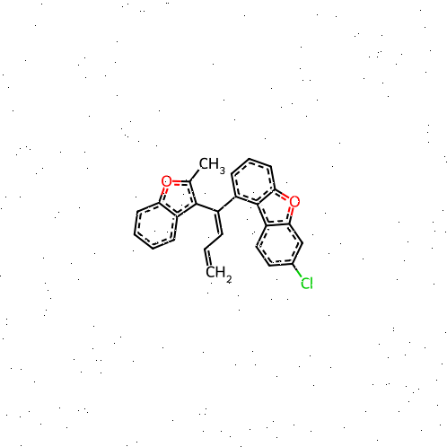 C=C/C=C(\c1c(C)oc2ccccc12)c1cccc2oc3cc(Cl)ccc3c12